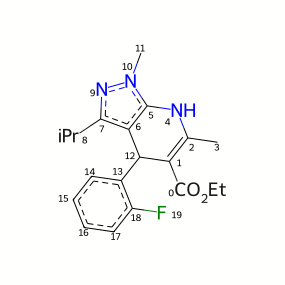 CCOC(=O)C1=C(C)Nc2c(c(C(C)C)nn2C)C1c1ccccc1F